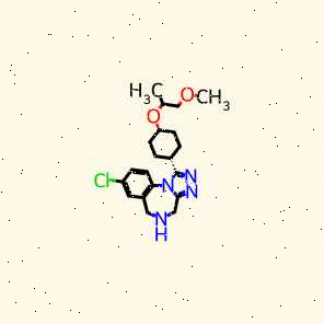 COCC(C)O[C@H]1CC[C@H](c2nnc3n2-c2ccc(Cl)cc2CNC3)CC1